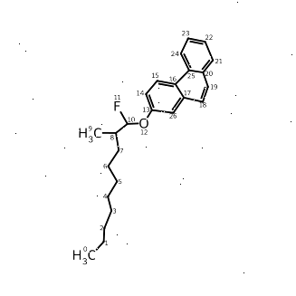 CCCCCCCCC(C)C(F)Oc1ccc2c(ccc3ccccc32)c1